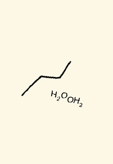 CCCC.O.O